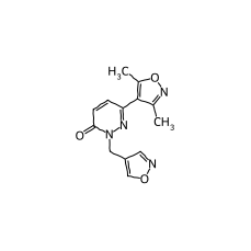 Cc1noc(C)c1-c1ccc(=O)n(Cc2cnoc2)n1